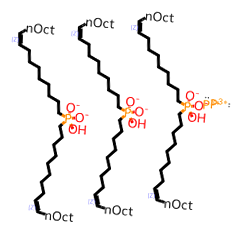 CCCCCCCC/C=C\CCCCCCCCP([O-])([O-])(O)CCCCCCCC/C=C\CCCCCCCC.CCCCCCCC/C=C\CCCCCCCCP([O-])([O-])(O)CCCCCCCC/C=C\CCCCCCCC.CCCCCCCC/C=C\CCCCCCCCP([O-])([O-])(O)CCCCCCCC/C=C\CCCCCCCC.[P+3].[P+3]